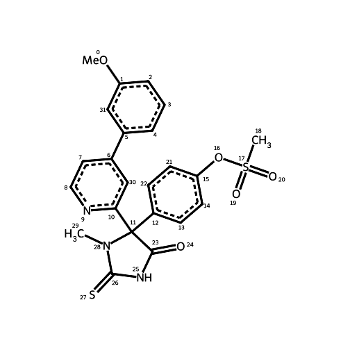 COc1cccc(-c2ccnc(C3(c4ccc(OS(C)(=O)=O)cc4)C(=O)NC(=S)N3C)c2)c1